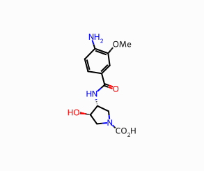 COc1cc(C(=O)N[C@@H]2CN(C(=O)O)C[C@H]2O)ccc1N